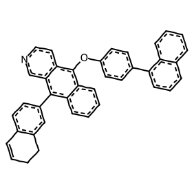 C1=Cc2ccc(-c3c4ccccc4c(Oc4ccc(-c5cccc6ccccc56)cc4)c4ccncc34)cc2CC1